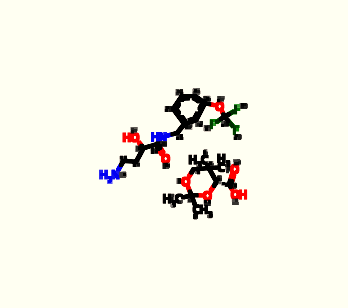 CC1(C)OCC(C)(C)[C@H](C(=O)O)O1.NCCC(O)C(=O)NCc1cccc(OC(F)(F)F)c1